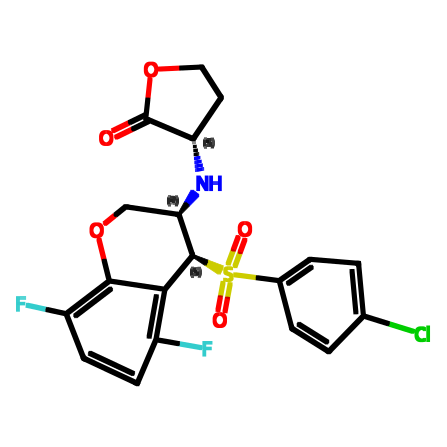 O=C1OCC[C@@H]1N[C@@H]1COc2c(F)ccc(F)c2[C@@H]1S(=O)(=O)c1ccc(Cl)cc1